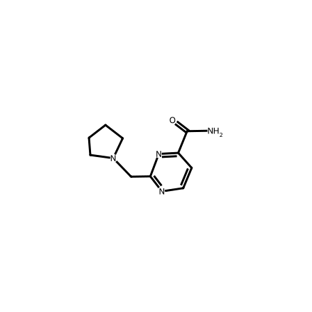 NC(=O)c1ccnc(CN2CCCC2)n1